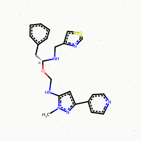 Cn1nc(-c2ccncc2)cc1NCO[C@H](Cc1ccccc1)NCc1cscn1